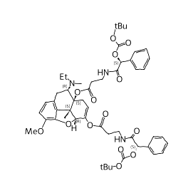 CCN(C)[C@@H]1Cc2ccc(OC)c3c2[C@@]2(C)[C@@H](O3)C(OC(=O)CCNC(=O)[C@@H](OC(=O)OC(C)(C)C)c3ccccc3)=CC[C@@]12OC(=O)CCNC(=O)[C@@H](OC(=O)OC(C)(C)C)c1ccccc1